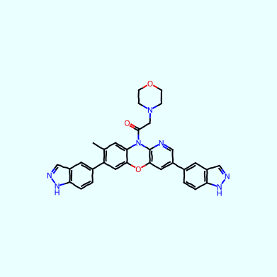 Cc1cc2c(cc1-c1ccc3[nH]ncc3c1)Oc1cc(-c3ccc4[nH]ncc4c3)cnc1N2C(=O)CN1CCOCC1